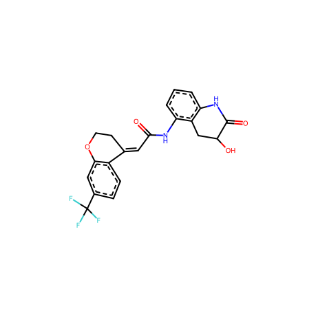 O=C(/C=C1\CCOc2cc(C(F)(F)F)ccc21)Nc1cccc2c1CC(O)C(=O)N2